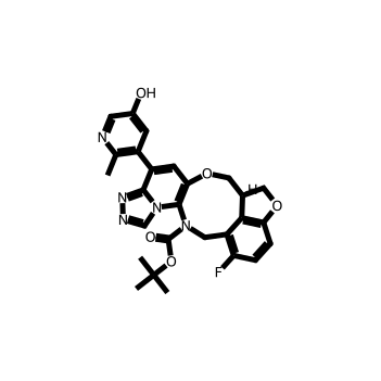 Cc1ncc(O)cc1-c1cc2c(n3cnnc13)N(C(=O)OC(C)(C)C)Cc1c(F)ccc3c1[C@H](CO3)CO2